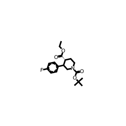 CCOC(=O)[C@@H]1CCN(C(=O)OC(C)(C)C)CC1c1ccc(F)cc1